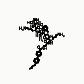 CCCCc1ccc(-c2ccc(C(=O)NCCC(=O)N[C@@H](CCCCN)C(=O)N[C@@H](Cc3ccc(O)cc3)C(=O)N[C@@H](N)C(=O)N[C@@H](CCCCN)C(=O)N[C@@H](N)B(O)O)cc2)cc1